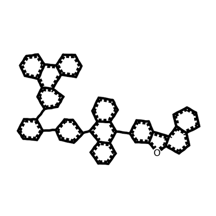 c1ccc(-c2ccc3c4ccccc4c4ccccc4c3c2)c(-c2ccc(-c3c4ccccc4c(-c4ccc5c(c4)oc4ccc6ccccc6c45)c4ccccc34)cc2)c1